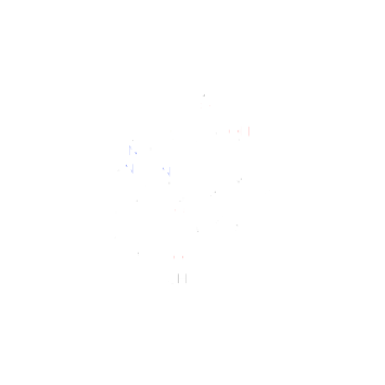 COc1cccc(-c2nnc(SCC(=O)O)[nH]2)c1OCc1ccccc1